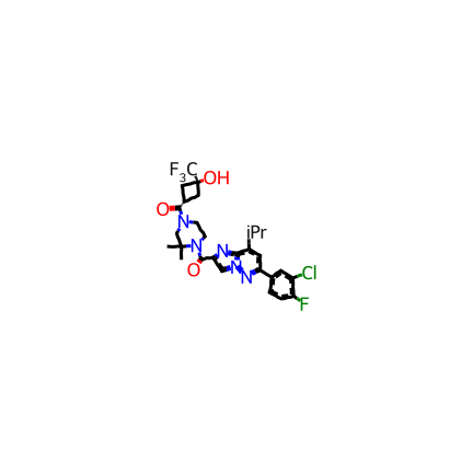 CC(C)c1cc(-c2ccc(F)c(Cl)c2)nn2cc(C(=O)N3CCN(C(=O)[C@H]4C[C@](O)(C(F)(F)F)C4)CC3(C)C)nc12